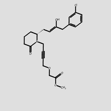 COC(=O)COCC#CCN1C(=O)CCC[C@@H]1C/C=C(\O)Cc1cccc(Cl)c1